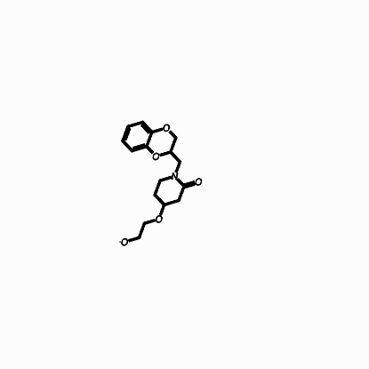 [O]CCOC1CCN(CC2COc3ccccc3O2)C(=O)C1